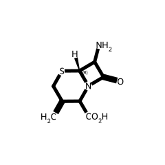 C=C1CS[C@@H]2C(N)C(=O)N2C1C(=O)O